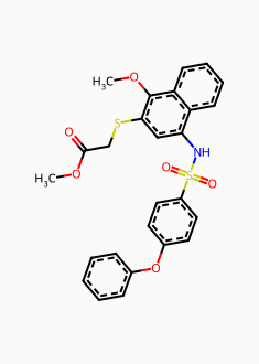 COC(=O)CSc1cc(NS(=O)(=O)c2ccc(Oc3ccccc3)cc2)c2ccccc2c1OC